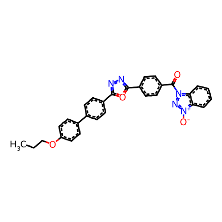 CCCOc1ccc(-c2ccc(-c3nnc(-c4ccc(C(=O)n5n[n+]([O-])c6ccccc65)cc4)o3)cc2)cc1